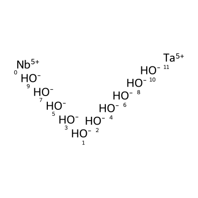 [Nb+5].[OH-].[OH-].[OH-].[OH-].[OH-].[OH-].[OH-].[OH-].[OH-].[OH-].[Ta+5]